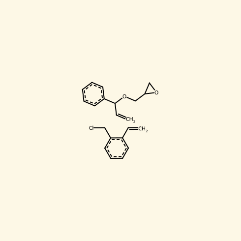 C=CC(OCC1CO1)c1ccccc1.C=Cc1ccccc1CCl